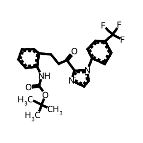 CC(C)(C)OC(=O)Nc1ccccc1CCC(=O)c1nccn1-c1ccc(C(F)(F)F)cc1